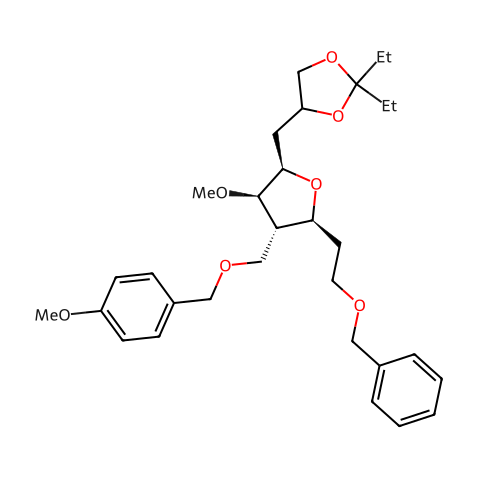 CCC1(CC)OCC(C[C@H]2O[C@@H](CCOCc3ccccc3)[C@H](COCc3ccc(OC)cc3)[C@H]2OC)O1